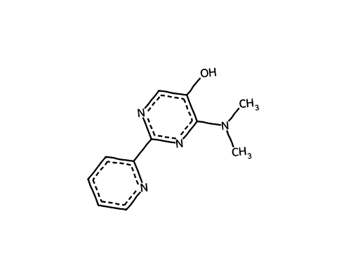 CN(C)c1nc(-c2ccccn2)ncc1O